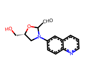 O=CC1O[C@@H](CO)CN1c1ccc2ncccc2c1